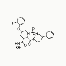 O=C(NO)[C@H]1C[C@H](Oc2ccccc2F)CN(C(=O)O)[C@@H]1C(=O)N1CCN(c2ccccc2)CC1